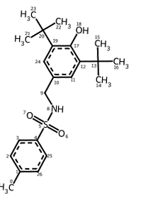 Cc1ccc(S(=O)(=O)NCc2cc(C(C)(C)C)c(O)c(C(C)(C)C)c2)cc1